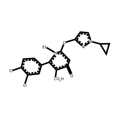 CCn1c(Oc2ccn(C3CC3)n2)cc(=O)c(C(=O)O)c1-c1ccc(Cl)c(Cl)c1